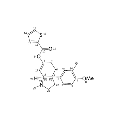 COc1ccc([C@@]23CCC(OC(=O)c4cccs4)=C[C@@H]2N(C)CC3)cc1C